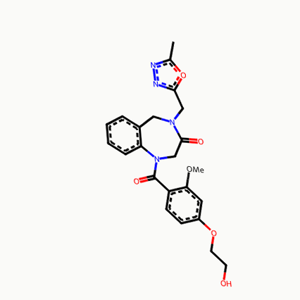 COc1cc(OCCO)ccc1C(=O)N1CC(=O)N(Cc2nnc(C)o2)Cc2ccccc21